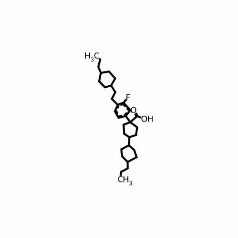 CCCC1CCC(CCc2ccc(C3(C(=O)O)CCC(C4CCC(CCC)CC4)CC3)cc2F)CC1